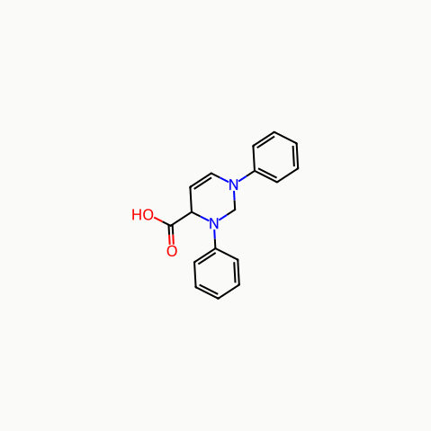 O=C(O)C1C=CN(c2ccccc2)CN1c1ccccc1